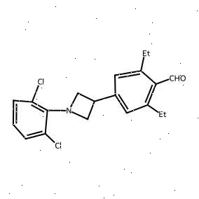 CCc1cc(C2CN(c3c(Cl)cccc3Cl)C2)cc(CC)c1C=O